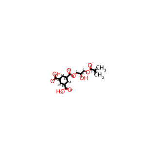 C=C(C)C(=O)OCC(O)COC(=O)C1CC(C(=O)O)CC(C(=O)O)C1